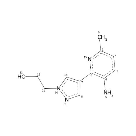 Cc1ccc(N)c(-c2cnn(CCO)c2)n1